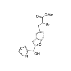 COC(=O)C(Br)Cc1ccc2oc(C(O)c3ccccn3)cc2c1